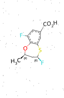 C[C@@H]1C[C@H](F)Sc2cc(C(=O)O)cc(F)c2O1